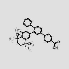 CC1(C)CCC(C)(C)c2c(O)cc(-c3cc(-c4ccc(C(=O)O)cc4)ccc3-c3ccccc3)cc21